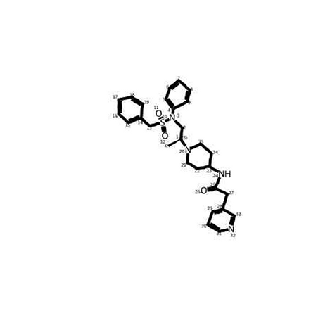 C[C@@H](CN(c1ccccc1)S(=O)(=O)Cc1ccccc1)N1CCC(NC(=O)Cc2cccnc2)CC1